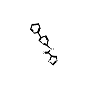 O=C(Nc1ccc(-c2ccccn2)cn1)c1cnco1